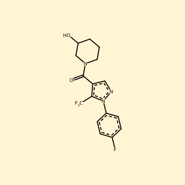 O=C(c1cnn(-c2ccc(F)cc2)c1C(F)(F)F)N1CCCC(O)C1